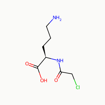 NCCC[C@@H](NC(=O)CCl)C(=O)O